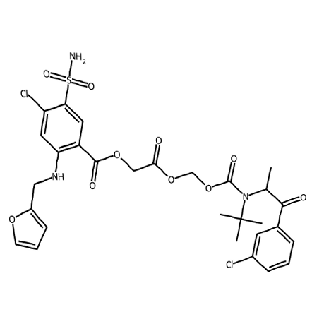 CC(C(=O)c1cccc(Cl)c1)N(C(=O)OCOC(=O)COC(=O)c1cc(S(N)(=O)=O)c(Cl)cc1NCc1ccco1)C(C)(C)C